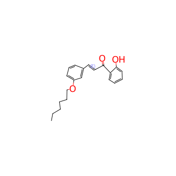 CCCCCCOc1cccc(/C=C/C(=O)c2ccccc2O)c1